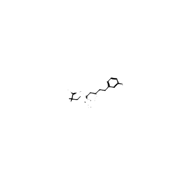 CC(O)(CC[C@H](C[C@@H](O)[CH]Cc1cccc(F)c1)S(N)(=O)=O)C(N)=O